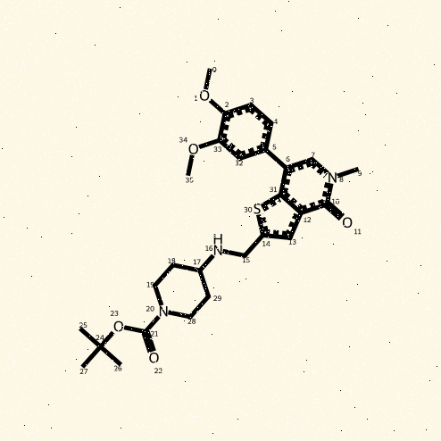 COc1ccc(-c2cn(C)c(=O)c3cc(CNC4CCN(C(=O)OC(C)(C)C)CC4)sc23)cc1OC